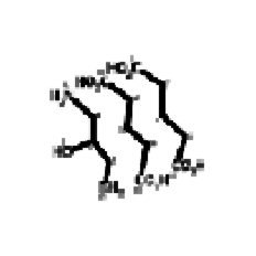 NCC(O)CN.O=C(O)CCCC(=O)O.O=C(O)CCCC(=O)O